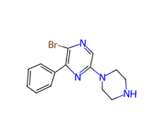 Brc1ncc(N2CCNCC2)nc1-c1ccccc1